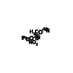 Cc1cc(Cn2ccnc2)ccc1-c1noc(-c2ccc(OC(C)C)c([N+](=O)[O-])c2)n1